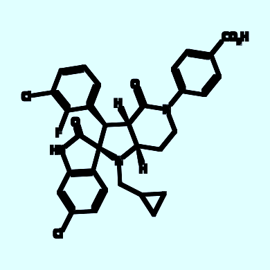 O=C(O)c1ccc(N2CC[C@H]3[C@@H](C2=O)[C@H](c2cccc(Cl)c2F)[C@]2(C(=O)Nc4cc(Cl)ccc42)N3CC2CC2)cc1